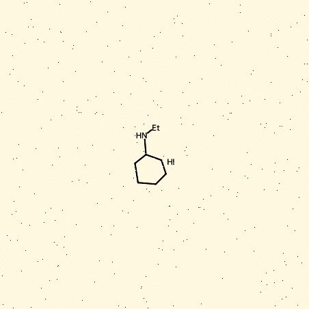 CCNC1CCCCC1.I